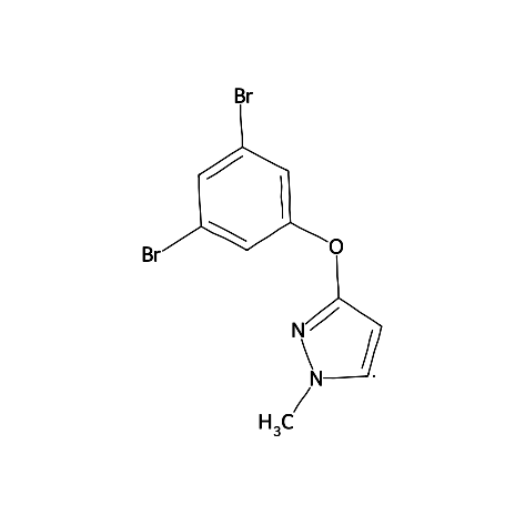 Cn1[c]cc(Oc2cc(Br)cc(Br)c2)n1